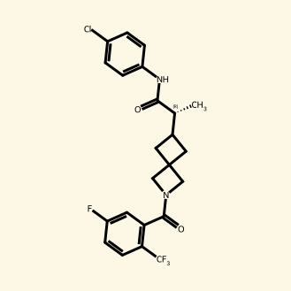 C[C@@H](C(=O)Nc1ccc(Cl)cc1)C1CC2(C1)CN(C(=O)c1cc(F)ccc1C(F)(F)F)C2